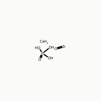 O=P(O)(O)O.[CaH2].[O]=[Zr]